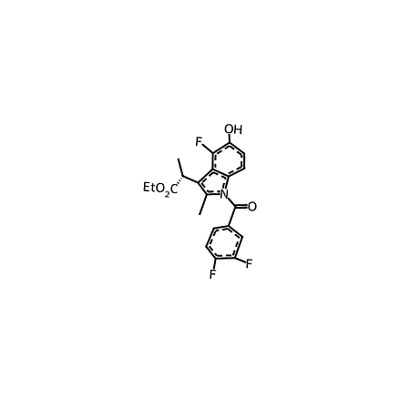 CCOC(=O)[C@H](C)c1c(C)n(C(=O)c2ccc(F)c(F)c2)c2ccc(O)c(F)c12